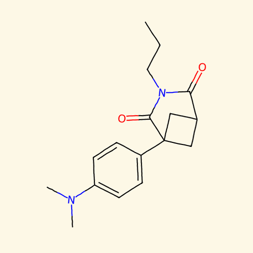 CCCN1C(=O)C2CC(c3ccc(N(C)C)cc3)(C2)C1=O